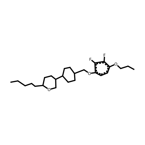 CCCCCC1CCC(C2CCC(COc3ccc(OCCC)c(F)c3F)CC2)CO1